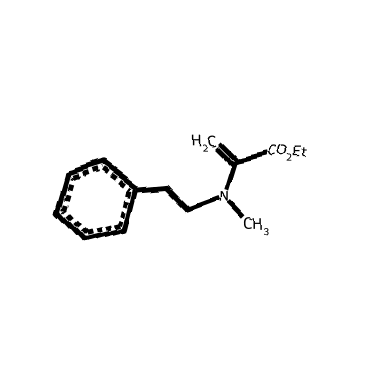 C=C(C(=O)OCC)N(C)CCc1ccccc1